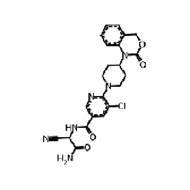 N#CC(NC(=O)c1cnc(N2CCC(N3C(=O)OCc4ccccc43)CC2)c(Cl)c1)C(N)=O